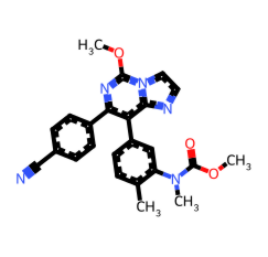 COC(=O)N(C)c1cc(-c2c(-c3ccc(C#N)cc3)nc(OC)n3ccnc23)ccc1C